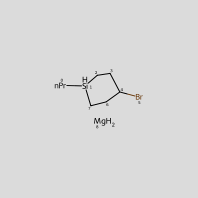 CCC[SiH]1CCC(Br)CC1.[MgH2]